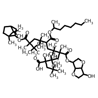 CCCCCCC(C)OC(=O)C(CC(C)(C)C(C)(CC(C)(C)C(C)(CC(C)(C)C)C(=O)O)C(=O)OC1COC2C(O)COC12)C(C)(C)CC(C)(C(=O)OC1CC2CCC1(C)C2(C)C)C(C)(C)C